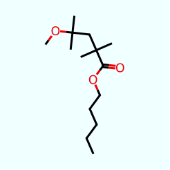 CCCCCOC(=O)C(C)(C)CC(C)(C)OC